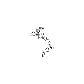 Cc1ccc(-n2nc(C(C)(C)C)cc2NC(=O)Nc2ccc(CC3CCN(C(=O)c4ccc(-c5cnco5)cc4)CC3)cc2)cc1